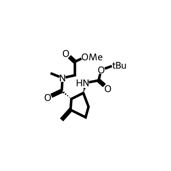 C=C1CC[C@@H](NC(=O)OC(C)(C)C)[C@H]1C(=O)N(C)CC(=O)OC